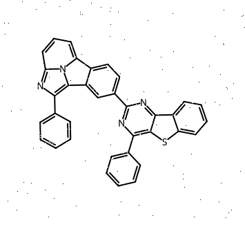 c1ccc(-c2nc(-c3ccc4c(c3)c3c(-c5ccccc5)nc5cccc4n53)nc3c2sc2ccccc23)cc1